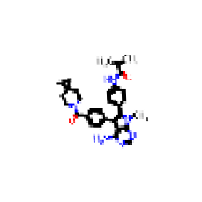 C=C(C)C(=O)Nc1ccc(-c2c(-c3ccc(C(=O)N4CCC5(CC4)CC5)cc3)c3c(N)ncnc3n2C)cc1